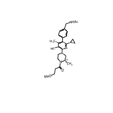 COCCC(=O)N1CCN(c2nc(C3CC3)c(-c3ccc(CNC(C)=O)cc3)c(C)c2C#N)C[C@H]1C